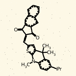 CC(C)c1ccc2c(c1)C(C)(C)c1cc(C=C3C(=O)c4cc5ccccc5cc4C3=O)sc1N2C